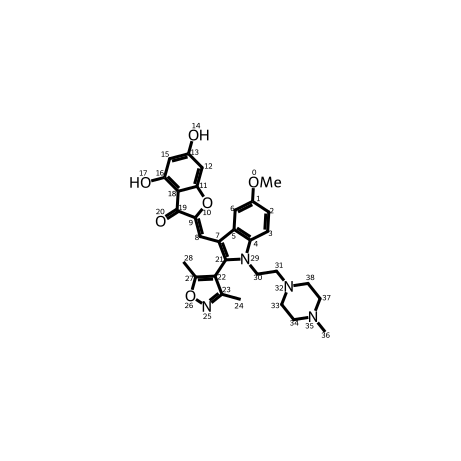 COc1ccc2c(c1)c(/C=C1\Oc3cc(O)cc(O)c3C1=O)c(-c1c(C)noc1C)n2CCN1CCN(C)CC1